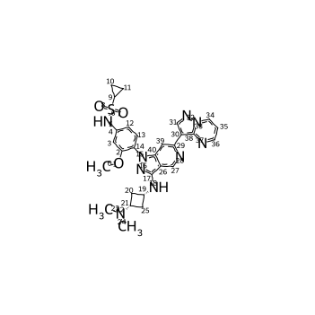 COc1cc(NS(=O)(=O)C2CC2)ccc1-n1nc(N[C@H]2C[C@@H](N(C)C)C2)c2cnc(-c3cnn4cccnc34)cc21